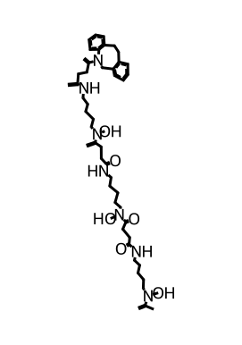 C=C(CCC(=C)N1Cc2ccccc2CCc2ccccc21)NCCCCCN(O)C(=C)CCC(=O)NCCCCCN(O)C(=O)CCC(=O)NCCCCCN(O)C(=C)C